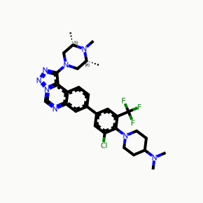 C[C@@H]1CN(c2nnn3cnc4cc(-c5cc(Cl)c(N6CCC(N(C)C)CC6)c(C(F)(F)F)c5)ccc4c23)C[C@H](C)N1C